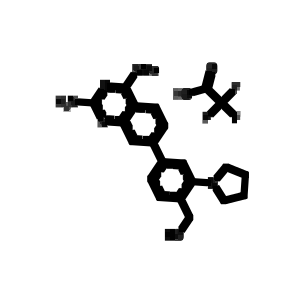 CNc1nc(N)nc2cc(-c3ccc(CO)c(N4CCCC4)c3)ccc12.O=C(O)C(F)(F)F